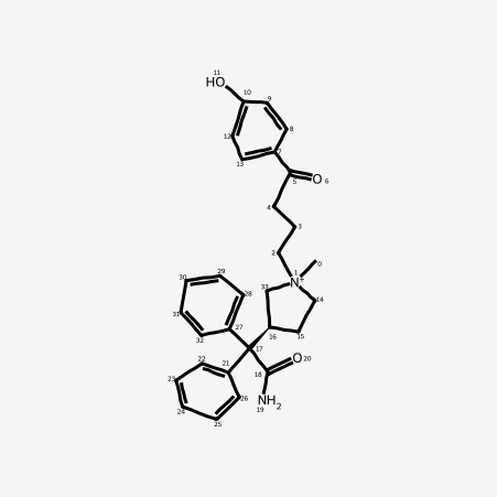 C[N+]1(CCCC(=O)c2ccc(O)cc2)CC[C@@H](C(C(N)=O)(c2ccccc2)c2ccccc2)C1